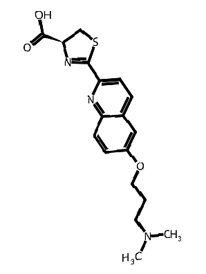 CN(C)CCCOc1ccc2nc(C3=N[C@@H](C(=O)O)CS3)ccc2c1